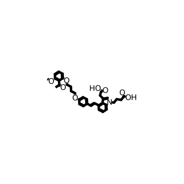 COc1cccc(OCCCCOc2ccc(C=Cc3cccc4c3c(CC(=O)O)cn4CCCC(=O)O)cc2)c1C(C)=O